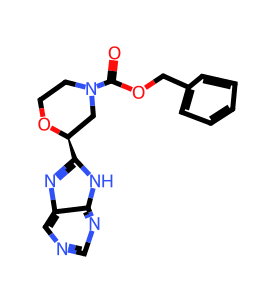 O=C(OCc1ccccc1)N1CCO[C@H](c2nc3cncnc3[nH]2)C1